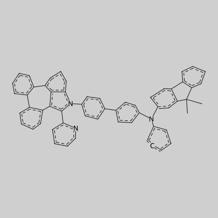 CC1(C)c2ccccc2-c2ccc(N(c3ccccc3)c3ccc(-c4ccc(-n5c(-c6ccccn6)c6c7c(cccc75)-c5ccccc5-c5ccccc5-6)cc4)cc3)cc21